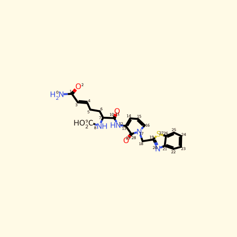 NC(=O)/C=C/CCC(NC(=O)O)C(=O)Nc1cccn(Cc2nc3ccccc3s2)c1=O